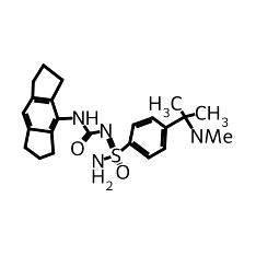 CNC(C)(C)c1ccc(S(N)(=O)=NC(=O)Nc2c3c(cc4c2CCC4)CCC3)cc1